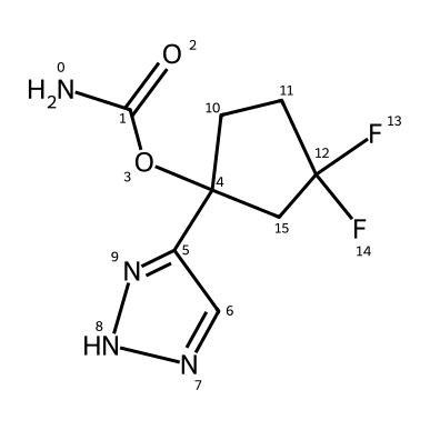 NC(=O)OC1(c2cn[nH]n2)CCC(F)(F)C1